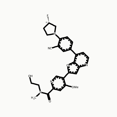 COc1cc(C(=O)N(C)CCO)ncc1-c1cc2nccc(-c3ccc(N4CC[C@H](F)C4)c(C#N)c3)c2o1